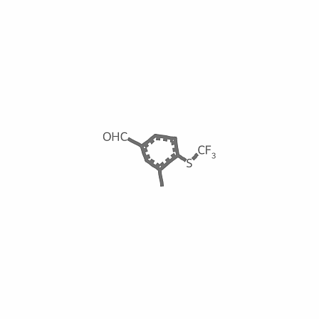 Cc1cc(C=O)ccc1SC(F)(F)F